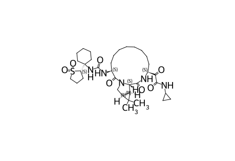 CC1(C)[C@@H]2[C@H]3C(=O)N[C@H](C(=O)C(=O)NC4CC4)CCCCCCCC[C@H](NC(=O)NC4([C@@H]5CCCS5(=O)=O)CCCCC4)C(=O)N3C[C@@H]21